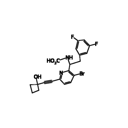 O=C(O)NC(Cc1cc(F)cc(F)c1)c1nc(C#CC2(O)CCC2)ccc1Br